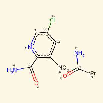 CCCC(N)=O.NC(=O)c1ncc(Cl)cc1[N+](=O)[O-]